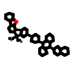 CC1(C)c2cc(-c3ccc(-c4c5ccccc5c(-c5ccc6ccccc6c5)c5ccccc45)cc3)ccc2-c2c1ccc1c2oc2ccccc21